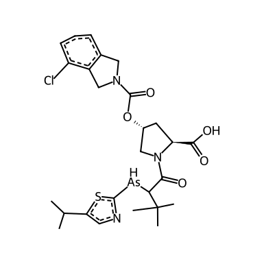 CC(C)c1cnc([AsH]C(C(=O)N2C[C@H](OC(=O)N3Cc4cccc(Cl)c4C3)C[C@H]2C(=O)O)C(C)(C)C)s1